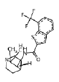 CC1(C)[C@H](NC(=O)c2cc3cccc(C(F)(F)F)c3s2)C2CCN1CC2